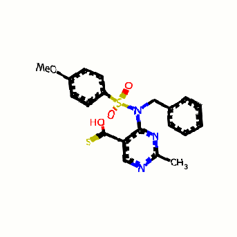 COc1ccc(S(=O)(=O)N(Cc2ccccc2)c2nc(C)ncc2C(O)=S)cc1